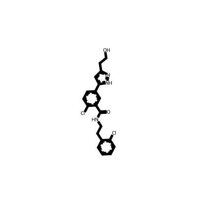 O=C(NCCc1ccccc1Cl)c1cc(-c2cc(CCO)n[nH]2)ccc1Cl